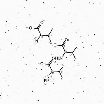 CC(C)C(N)C(=O)[O-].CC(C)C(N)C(=O)[O-].CC(C)C(N)C(=O)[O-].[Bi+3]